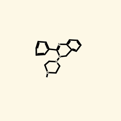 CN1CCN(N2Cc3ccccc3N=C2c2ccccc2)CC1